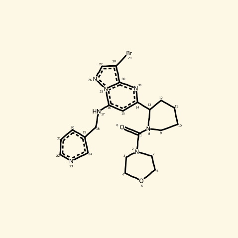 O=C(N1CCOCC1)N1CCCCC1c1cc(NCc2cccnc2)n2ncc(Br)c2n1